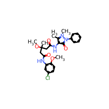 COc1ccc(Cl)cc1NC(=O)CC(C)(CC(=O)Nc1c(C)n(C)n(-c2ccccc2)c1=O)OC